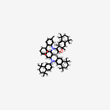 Cc1ccc(C2=CC=CCC2)c(N2C3=C(OC4(C)C=C5C(=C[C@@H]34)C(C)(C)CCC5(C)C)B3c4cc5c(cc4N(c4ccc6c(c4)C(C)(C)CCC6(C)C)c4cc(C)cc2c43)C(C)(C)CCC5(C)C)c1